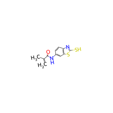 C=C(C)C(=O)Nc1ccc2nc(S)sc2c1